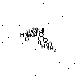 CNC(=O)c1ccc(-c2cc(F)c(Nc3ncc(Cl)c(Nc4n[nH]c5ccccc45)n3)cc2C)cc1